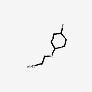 CCCCCCCCOC1CCC(F)CC1